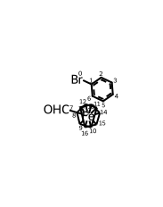 Brc1ccccc1.O=C[C]12[CH]3[CH]4[CH]5[CH]1[Fe]45321678[CH]2[CH]1[CH]6[CH]7[CH]28